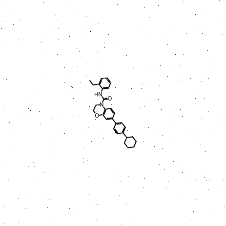 CCc1ccccc1NC(=O)N1CCOc2cc(-c3ccc(C4CCCCC4)cc3)ccc21